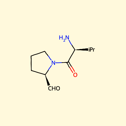 CC(C)[C@H](N)C(=O)N1CCC[C@@H]1C=O